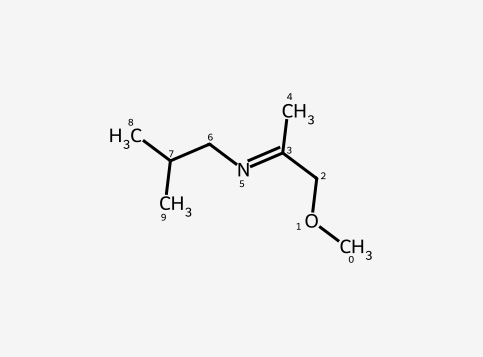 COCC(C)=NCC(C)C